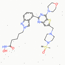 C=S(C)(=O)N1CCN(Cc2cc3nc(-c4cccc5nn(CCCCC(=O)NO)cc45)nc(N4CCOCC4)c3s2)CC1